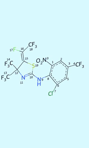 O=[N+]([O-])c1cc(C(F)(F)F)cc(Cl)c1NC1=NC(C(F)(F)F)(C(F)(F)F)C(=C(F)C(F)(F)F)S1